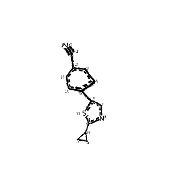 N#Cc1ccc(-c2cnc(C3CC3)s2)cc1